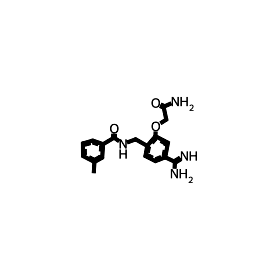 Cc1cccc(C(=O)NCc2ccc(C(=N)N)cc2OCC(N)=O)c1